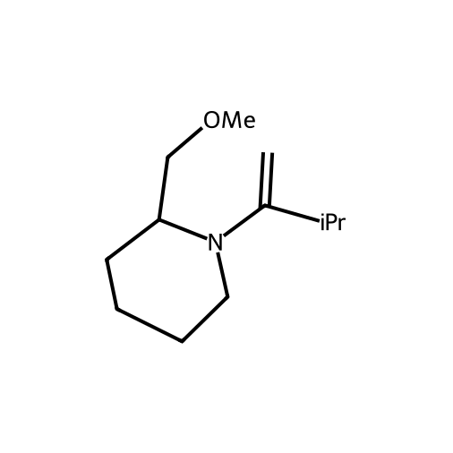 C=C(C(C)C)N1CCCCC1COC